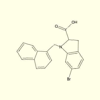 O=C(O)C1Cc2ccc(Br)cc2N1Cc1cccc2ccccc12